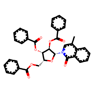 Cc1cn([C@@H]2O[C@H](COC(=O)c3ccccc3)[C@H](OC(=O)c3ccccc3)[C@H]2OC(=O)c2ccccc2)c(=O)c2ccccc12